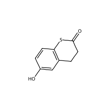 O=C1CCc2cc(O)ccc2S1